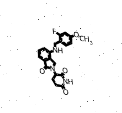 COc1ccc(CNc2cccc3c2CN(C2CCC(=O)NC2=O)C3=O)c(F)c1